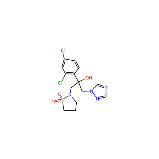 O=S1(=O)CCCN1CC(O)(Cn1cncn1)c1ccc(Cl)cc1Cl